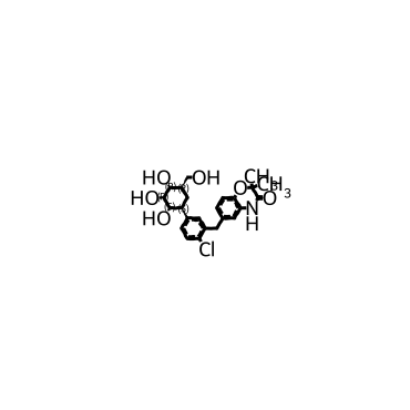 CC1(C)Oc2ccc(Cc3cc([C@@H]4C[C@H](CO)[C@@H](O)[C@H](O)[C@H]4O)ccc3Cl)cc2NC1=O